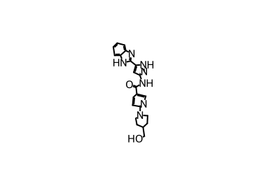 O=C(Nc1cc(-c2nc3ccccc3[nH]2)[nH]n1)c1ccc(N2CCC(CO)CC2)nc1